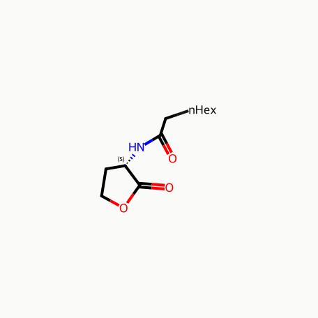 CCCCCCCC(=O)N[C@H]1CCOC1=O